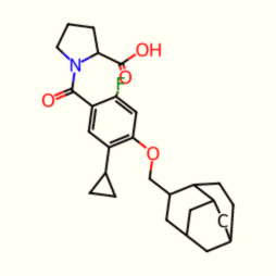 O=C(O)C1CCCN1C(=O)c1cc(C2CC2)c(OCC2CC3CC4CCC2C(C4)C3)cc1F